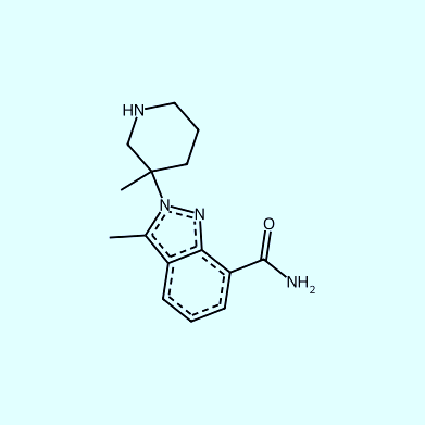 Cc1c2cccc(C(N)=O)c2nn1C1(C)CCCNC1